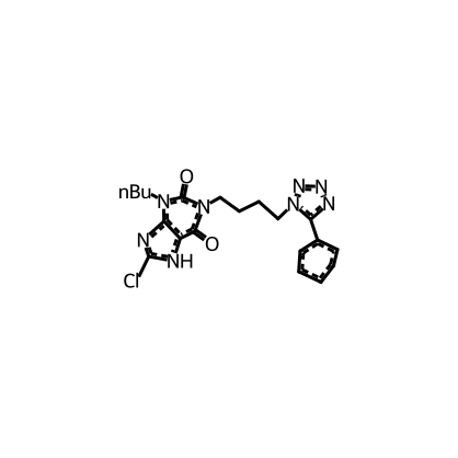 CCCCn1c(=O)n(CCCCn2nnnc2-c2ccccc2)c(=O)c2[nH]c(Cl)nc21